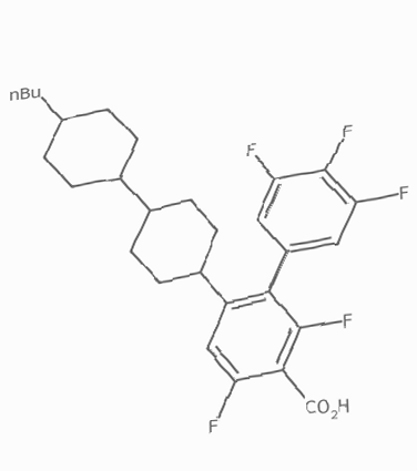 CCCCC1CCC(C2CCC(c3cc(F)c(C(=O)O)c(F)c3-c3cc(F)c(F)c(F)c3)CC2)CC1